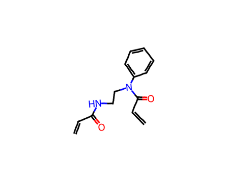 C=CC(=O)NCCN(C(=O)C=C)c1ccccc1